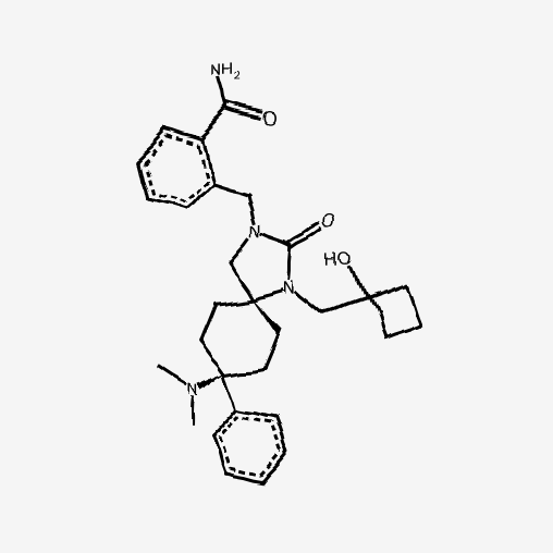 CN(C)[C@]1(c2ccccc2)CC[C@@]2(CC1)CN(Cc1ccccc1C(N)=O)C(=O)N2CC1(O)CCC1